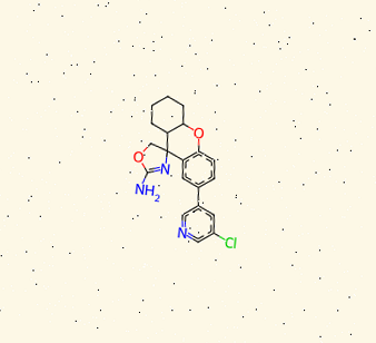 NC1=NC2(CO1)c1cc(-c3cncc(Cl)c3)ccc1OC1CCCCC12